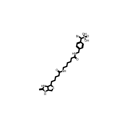 C=C1NC2CSC(CCCCC(=O)NCCCCCC(=O)NCc3ccc(C(Br)P(=O)(O)O)cc3)C2N1